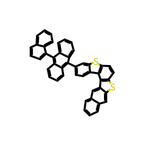 c1ccc2cc3c(cc2c1)sc1ccc2sc4cc(-c5c6ccccc6c(-c6cccc7ccccc67)c6ccccc56)ccc4c2c13